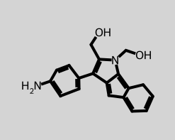 Nc1ccc(-c2c(CO)n(CO)c3c2=CC2=CC=CCC=32)cc1